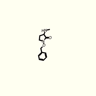 CNC1CCN(OCc2ccccc2)C1=O